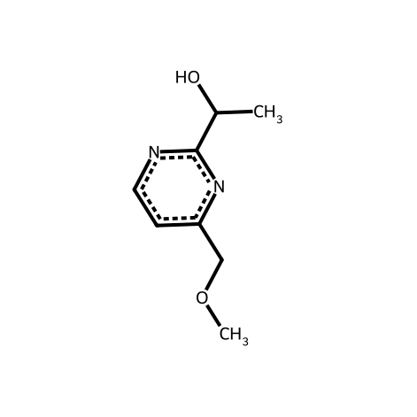 COCc1ccnc(C(C)O)n1